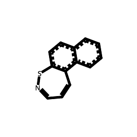 C1=Cc2c(ccc3ccccc23)SN=C1